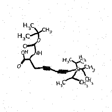 CC(C)[Si](C#CC#CCC(NC(=O)OC(C)(C)C)C(=O)O)(C(C)C)C(C)C